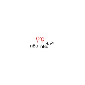 CCCC[O-].CCCC[O-].[Ba+2]